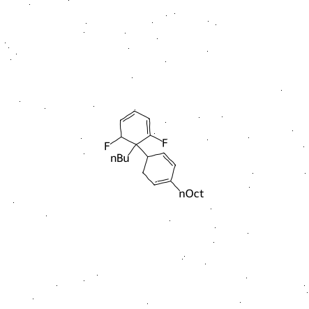 CCCCCCCCC1=CCC(C2(CCCC)C(F)=CC=CC2F)C=C1